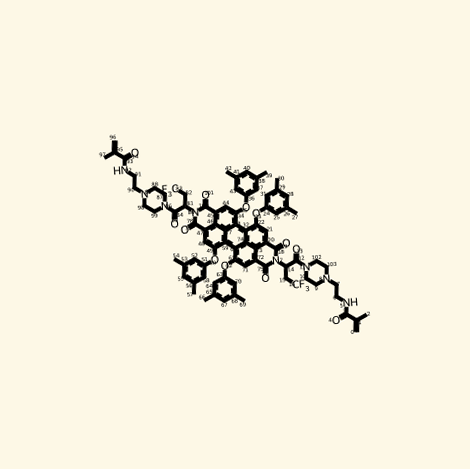 C=C(C)C(=O)NCCN1CCN(C(=O)C(CC(F)(F)F)N2C(=O)c3cc(Oc4cc(C)cc(C)c4)c4c5c(Oc6cc(C)cc(C)c6)cc6c7c(cc(Oc8cc(C)cc(C)c8)c(c8c(Oc9cc(C)cc(C)c9)cc(c3c48)C2=O)c75)C(=O)N(C(CC(F)(F)F)C(=O)N2CCN(CCNC(=O)C(=C)C)CC2)C6=O)CC1